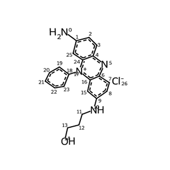 Nc1ccc2nc3ccc(NCCCO)cc3[n+](-c3ccccc3)c2c1.[Cl-]